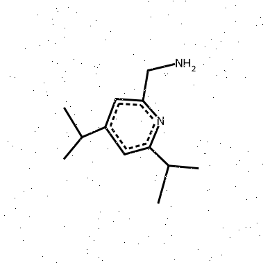 CC(C)c1cc(CN)nc(C(C)C)c1